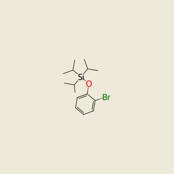 CC(C)[Si](Oc1ccccc1Br)(C(C)C)C(C)C